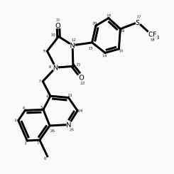 Cc1cccc2c(CN3CC(=O)N(c4ccc(SC(F)(F)F)cc4)C3=O)ccnc12